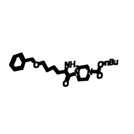 CCCCOC(=O)N1CCN(C(=O)C(N)CCCCOCc2ccccc2)CC1